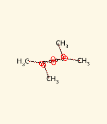 CCCCCCCCCCCCOc1ccc(/C=C/c2ccc(C(=O)C(=O)c3ccc(/C=C/c4ccc(OCCCCCCCCCCCC)c(OCCCCCCCCCCCC)c4)cc3)cc2)cc1OCCCCCCCCCCCC